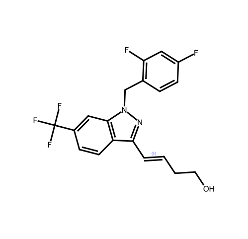 OCC/C=C/c1nn(Cc2ccc(F)cc2F)c2cc(C(F)(F)F)ccc12